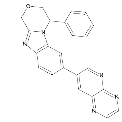 c1ccc(C2COCc3nc4ccc(-c5cnc6nccnc6c5)cc4n32)cc1